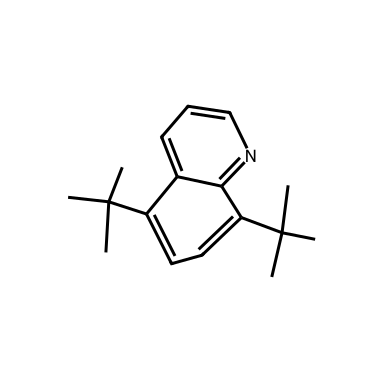 CC(C)(C)c1ccc(C(C)(C)C)c2ncccc12